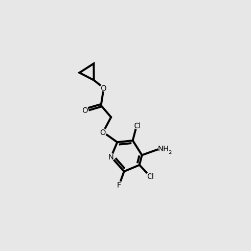 Nc1c(Cl)c(F)nc(OCC(=O)OC2CC2)c1Cl